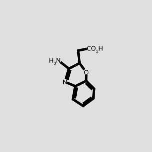 NC1=Nc2ccccc2OC1CC(=O)O